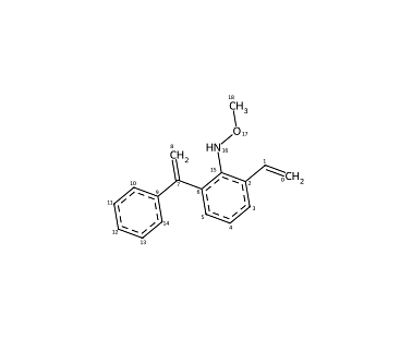 C=Cc1cccc(C(=C)c2ccccc2)c1NOC